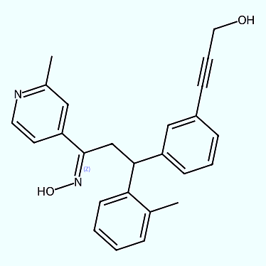 Cc1cc(/C(CC(c2cccc(C#CCO)c2)c2ccccc2C)=N\O)ccn1